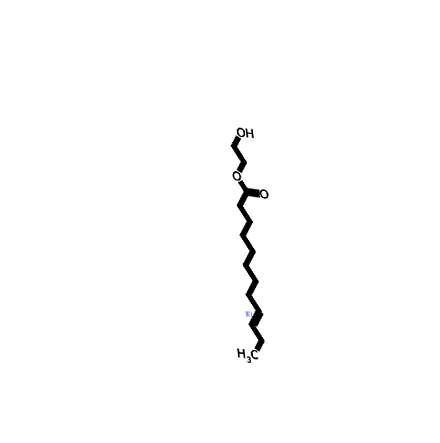 CC/C=C/CCCCCCCC(=O)OCCO